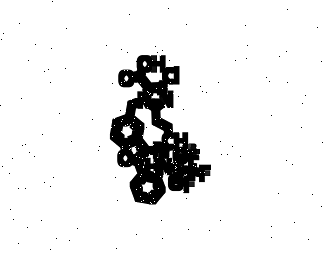 CCCc1nc(Cl)c(C(=O)O)n1Cc1ccc2oc(-c3ccccc3NS(=O)(=O)C(F)(F)F)c(Br)c2c1